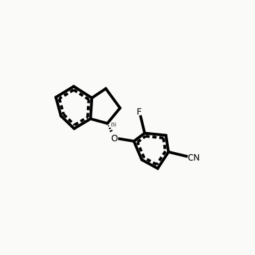 N#Cc1ccc(O[C@H]2CCc3ccccc32)c(F)c1